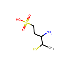 CC(S)C(N)CCS(=O)(=O)O